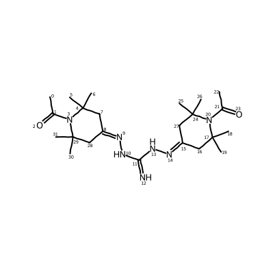 CC(=O)N1C(C)(C)CC(=NNC(=N)NN=C2CC(C)(C)N(C(C)=O)C(C)(C)C2)CC1(C)C